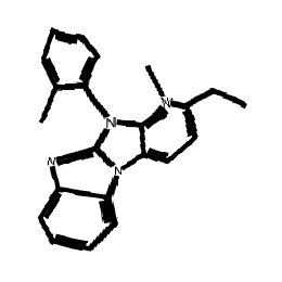 CCc1ccc2c(n(-c3ccccc3C)c3nc4ccccc4n23)[n+]1C